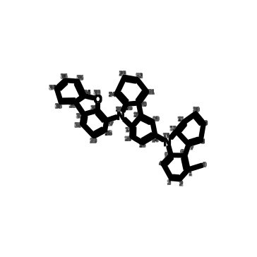 Cc1cccc2c1c1ccccc1n2-c1ccc2c(c1)c1ccccc1n2-c1cccc2c1oc1ccccc12